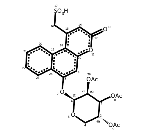 CC(=O)OC1[C@H](OC(C)=O)CO[C@@H](Oc2cc3oc(=O)cc(CS(=O)(=O)O)c3c3ccccc23)[C@H]1OC(C)=O